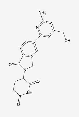 Nc1cc(CO)cc(-c2ccc3c(c2)CN(C2CCC(=O)NC2=O)C3=O)n1